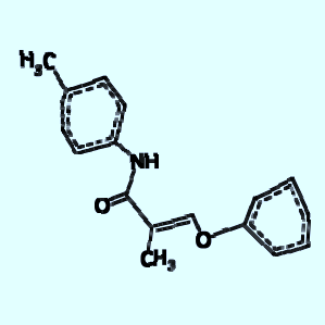 C/C(=C\Oc1ccccc1)C(=O)Nc1ccc(C)cc1